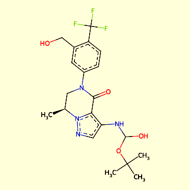 C[C@H]1CN(c2ccc(C(F)(F)F)c(CO)c2)C(=O)c2c(NC(O)OC(C)(C)C)cnn21